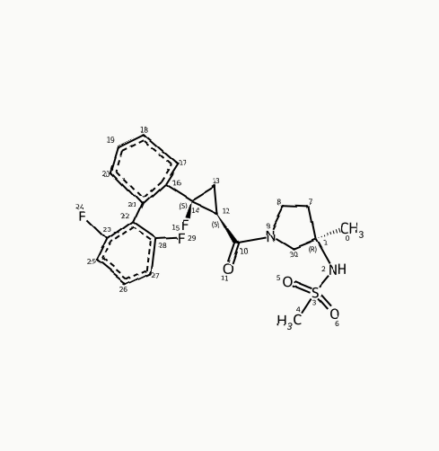 C[C@@]1(NS(C)(=O)=O)CCN(C(=O)[C@@H]2C[C@@]2(F)c2ccccc2-c2c(F)cccc2F)C1